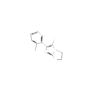 Cc1ccccc1-c1nc2n(c1Br)CCS2